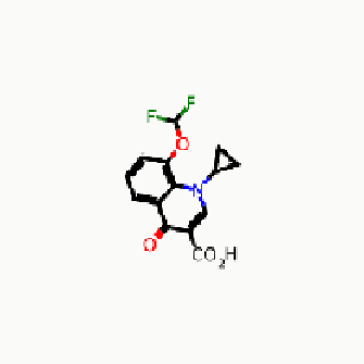 O=C(O)c1cn(C2CC2)c2c(OC(F)F)[c]ccc2c1=O